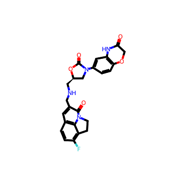 O=C1COc2ccc(N3C[C@@H](CNCc4cc5ccc(F)c6c5n(c4=O)CC6)OC3=O)cc2N1